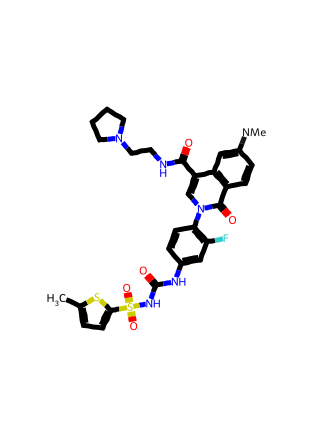 CNc1ccc2c(=O)n(-c3ccc(NC(=O)NS(=O)(=O)c4ccc(C)s4)cc3F)cc(C(=O)NCCN3CCCC3)c2c1